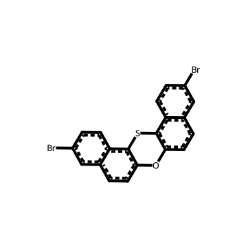 Brc1ccc2c3c(ccc2c1)Oc1ccc2cc(Br)ccc2c1S3